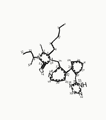 CCCCCc1c(C)n(C(C)CC)c(=O)n1Cc1ncccc1-c1ccccc1-c1nnn[nH]1